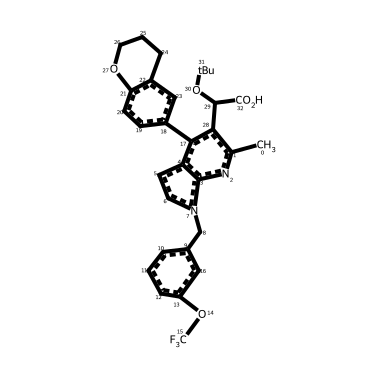 Cc1nc2c(ccn2Cc2cccc(OC(F)(F)F)c2)c(-c2ccc3c(c2)CCCO3)c1C(OC(C)(C)C)C(=O)O